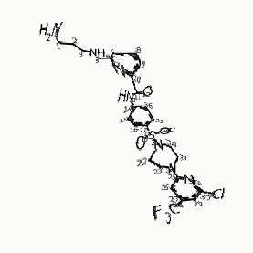 NCCCNCc1cccc(C(=O)Nc2ccc(S(=O)(=O)N3CCN(c4cc(C(F)(F)F)cc(Cl)n4)CC3)cc2)n1